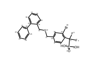 O=P(O)(O)C(F)(F)c1ccc(CSCc2ccccc2-c2ccccc2)cc1Br